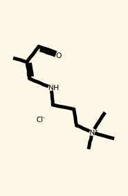 CC(C=O)=CNCCC[N+](C)(C)C.[Cl-]